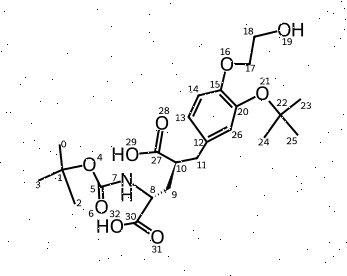 CC(C)(C)OC(=O)N[C@H](C[C@H](Cc1ccc(OCCO)c(OC(C)(C)C)c1)C(=O)O)C(=O)O